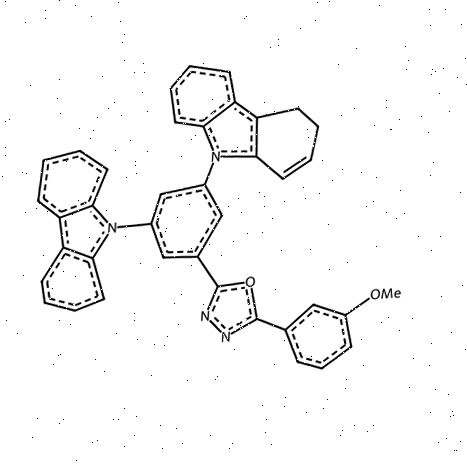 COc1cccc(-c2nnc(-c3cc(-n4c5c(c6ccccc64)CCC=C5)cc(-n4c5ccccc5c5ccccc54)c3)o2)c1